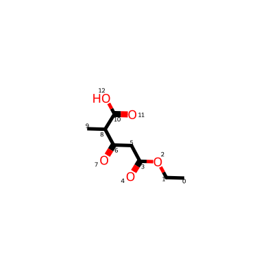 CCOC(=O)CC(=O)C(C)C(=O)O